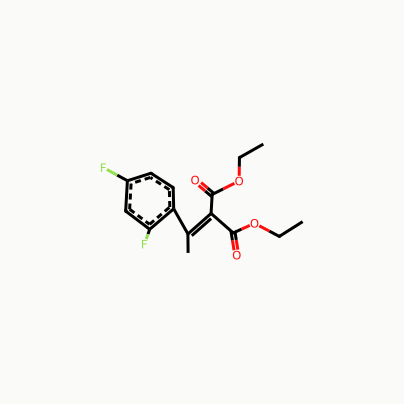 CCOC(=O)C(C(=O)OCC)=C(C)c1ccc(F)cc1F